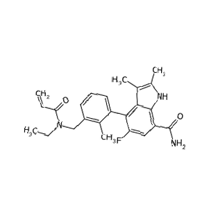 C=CC(=O)N(CC)Cc1cccc(-c2c(F)cc(C(N)=O)c3[nH]c(C)c(C)c23)c1C